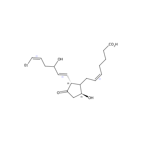 CC/C=C\CC(O)/C=C/[C@H]1C(=O)C[C@H](O)C1C/C=C\CCCC(=O)O